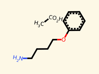 CC(=O)O.NCCCCOc1ccccc1